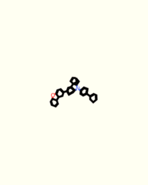 C1=CCCC(c2ccc(N3c4ccc(C5=CC=C6OC7C=CC=CC7C6C5)cc4C45C=CC(CC34)C5)cc2)=C1